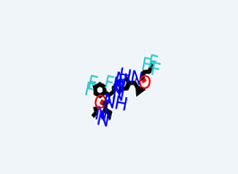 CC(C)n1nccc1C(=O)N[C@H](c1nc2cc([C@H](NC(=O)CCC(F)(F)F)C3CC3)cnn2c1F)C1CCC(F)(F)CC1